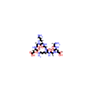 C[C@H](N)C(=O)N[C@@H](CCC(=O)O)C(=O)N[C@@H](C)C(=O)N[C@@H](CCCCN)C(=O)NCC(=O)N[C@@H](CCCCN)C(=O)N[C@@H](C)C(=O)N[C@@H](CCC(=O)O)C(=O)O